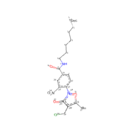 CCCCCCCCCCCCCCCCNC(=O)c1ccc(-n2oc(C(C)(C)C)c(CCl)c2=O)c([N+](=O)[O-])c1